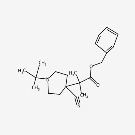 CC(C)(C)N1CCC(C#N)(C(C)(C)C(=O)OCc2ccccc2)CC1